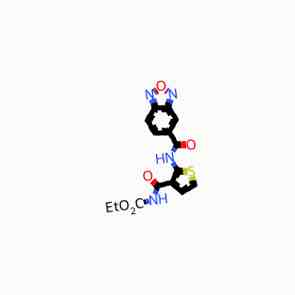 CCOC(=O)NC(=O)c1ccsc1NC(=O)c1ccc2nonc2c1